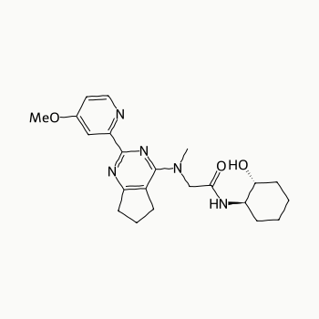 COc1ccnc(-c2nc3c(c(N(C)CC(=O)N[C@@H]4CCCC[C@H]4O)n2)CCC3)c1